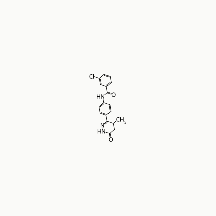 CC1CC(=O)NN=C1c1ccc(NC(=O)c2cccc(Cl)c2)cc1